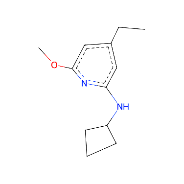 CCc1cc(NC2CCC2)nc(OC)c1